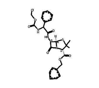 CC1(C)S[C@@H]2[C@H](NC(=O)C(NC(=O)OCCl)c3ccccc3)C(=O)N2[C@H]1C(=O)OCc1ccccc1